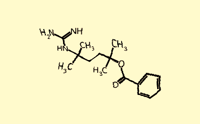 CC(C)(CCC(C)(C)OC(=O)c1ccccc1)NC(=N)N